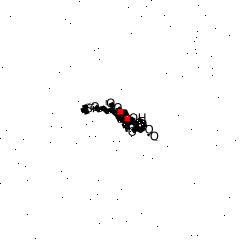 COCOc1ccc(C2(C)COc3cc(OCOC)ccc3C2(O)C#CCCCCCCO[Si](C)(C)C(C)(C)C)cc1